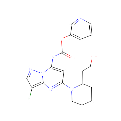 O=C(Nc1cc(N2CCCCC2CCO)nc2c(Br)cnn12)Oc1cccnc1